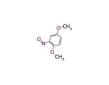 COc1ccc(OC)c(N=O)c1